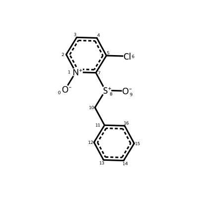 [O-][n+]1cccc(Cl)c1[S+]([O-])Cc1ccccc1